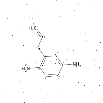 C=CCc1nc(N)ccc1N